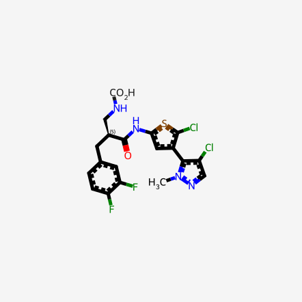 Cn1ncc(Cl)c1-c1cc(NC(=O)[C@H](CNC(=O)O)Cc2ccc(F)c(F)c2)sc1Cl